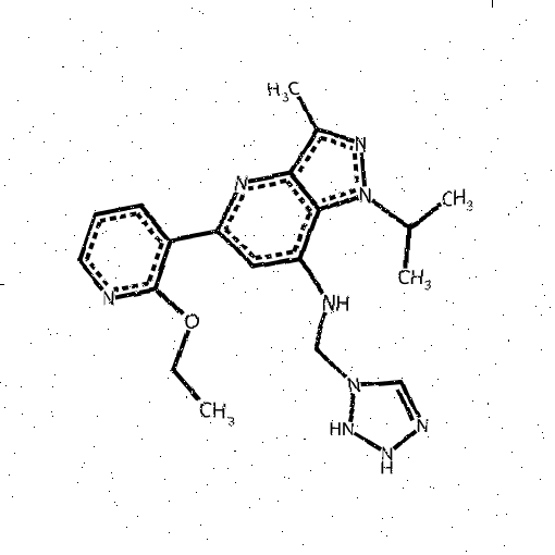 CCOc1ncccc1-c1cc(NCN2C=NNN2)c2c(n1)c(C)nn2C(C)C